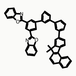 CC1(C)c2cc(-c3cccc(-c4cccc(-c5cc(-c6nc7ccccc7o6)cc(-c6nc7ccccc7o6)c5)c4)c3)ccc2-c2c1ccc1ccccc21